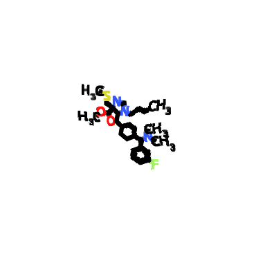 CCCCN1C=NC(CSC)(C(=O)OC)C1CC1CCC(C(c2cccc(F)c2)N(C)C)CC1